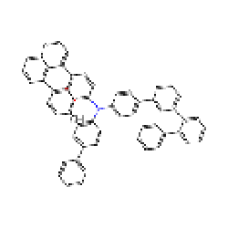 Cc1ccc(-c2cccc3cccc(-c4ccc(N(c5ccc(-c6ccccc6)cc5)c5ccc(-c6cccc(-c7ccccc7-c7ccccc7)c6)cc5)cc4)c23)cc1